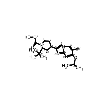 COC(=O)N1CCC(c2cn3cc(Br)c(OC(C)C)nc3n2)CC1C(C)(C)C